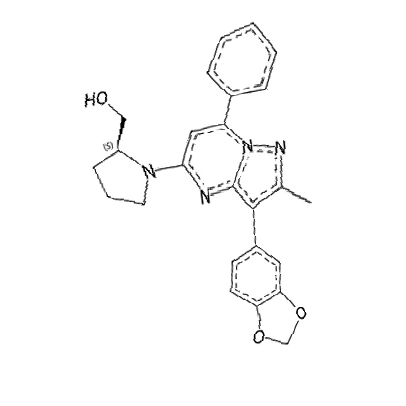 Cc1nn2c(-c3ccccc3)cc(N3CCC[C@H]3CO)nc2c1-c1ccc2c(c1)OCO2